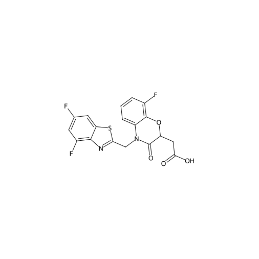 O=C(O)CC1Oc2c(F)cccc2N(Cc2nc3c(F)cc(F)cc3s2)C1=O